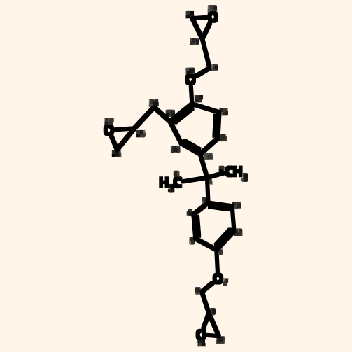 CC(C)(c1ccc(OCC2CO2)cc1)c1ccc(OCC2CO2)c(CC2CO2)c1